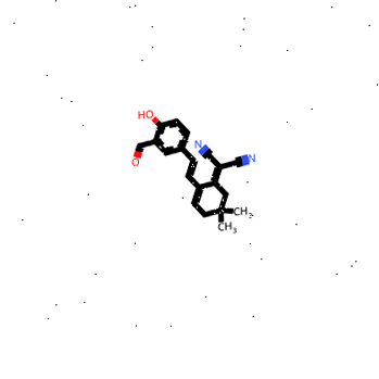 CC1(C)CC=C(/C=C/c2ccc(O)c(C=O)c2)C(=C(C#N)C#N)C1